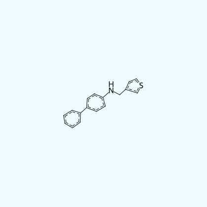 c1ccc(-c2ccc(NCc3ccsc3)cc2)cc1